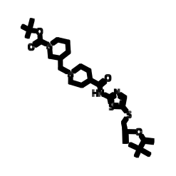 C=C(CSc1cnc(NC(=O)C2CCN(CC3CCCN(C(=O)OC(C)(C)C)C3)CC2)s1)OC(=C)C(C)(C)C